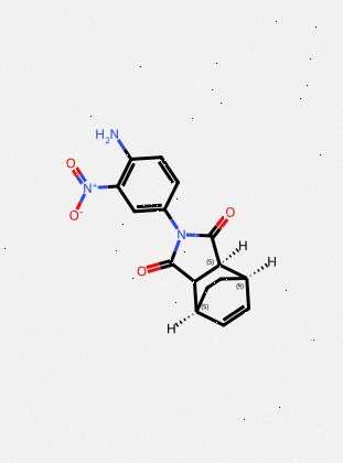 Nc1ccc(N2C(=O)C3[C@@H]4C=C[C@@H](CC4)[C@@H]3C2=O)cc1[N+](=O)[O-]